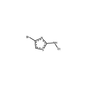 CCNc1nc(Br)cs1